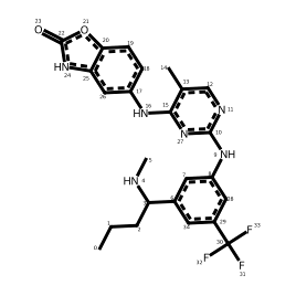 CCCC(NC)c1cc(Nc2ncc(C)c(Nc3ccc4oc(=O)[nH]c4c3)n2)cc(C(F)(F)F)c1